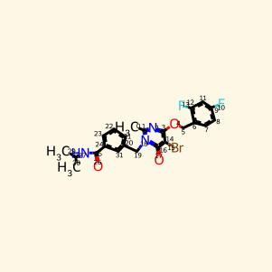 Cc1nc(OCc2ccc(F)cc2F)c(Br)c(=O)n1Cc1cccc(C(=O)NC(C)C)c1